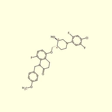 COc1ccc(CN2C(=O)CCc3c(OC[C@H]4CCN(c5cc(F)c(Cl)cc5F)C[C@@H]4O)ccc(F)c32)cc1